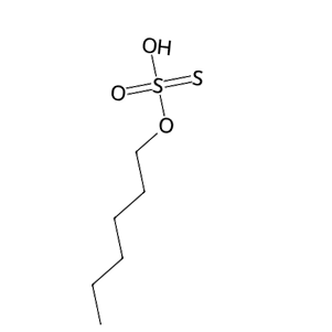 CCCCCCOS(=O)(O)=S